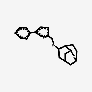 c1ccc(-c2ccc(CNC3CC4CC5CCC3C(C5)C4)s2)cc1